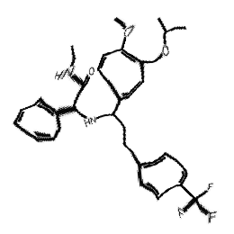 CNC(=O)C(NC(CCc1ccc(C(F)(F)F)cc1)c1ccc(OC)c(OC(C)C)c1)c1ccccc1